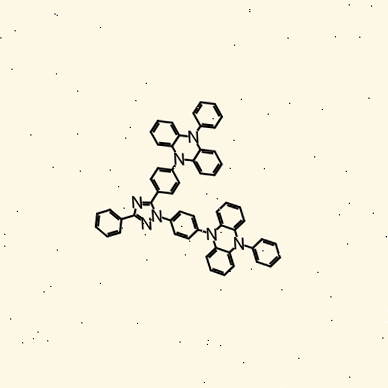 c1ccc(-c2nc(-c3ccc(N4c5ccccc5N(c5ccccc5)c5ccccc54)cc3)n(-c3ccc(N4c5ccccc5N(c5ccccc5)c5ccccc54)cc3)n2)cc1